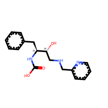 O=C(O)N[C@@H](Cc1ccccc1)[C@H](O)CNCc1ccccn1